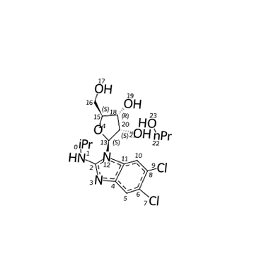 CC(C)Nc1nc2cc(Cl)c(Cl)cc2n1[C@H]1O[C@@H](CO)[C@H](O)[C@@H]1O.CCCO